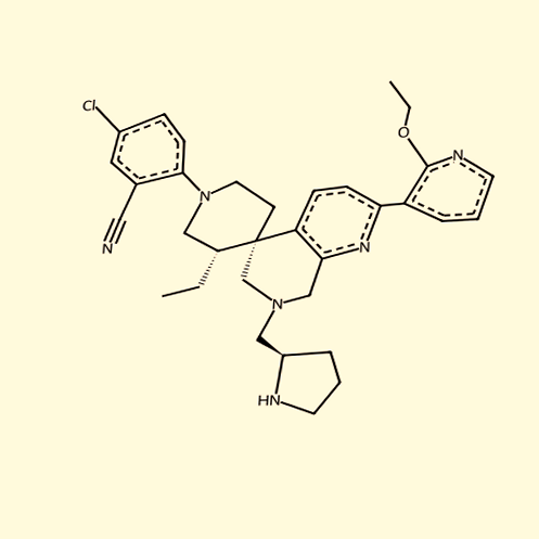 CCOc1ncccc1-c1ccc2c(n1)CN(C[C@H]1CCCN1)C[C@]21CCN(c2ccc(Cl)cc2C#N)C[C@H]1CC